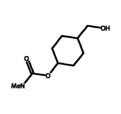 CNC(=O)OC1CCC(CO)CC1